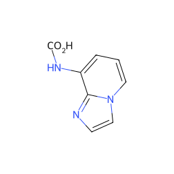 O=C(O)Nc1cccn2ccnc12